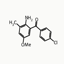 COc1cc(C)c(N)c(C(=O)c2ccc(Cl)cc2)c1